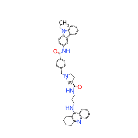 CCn1c2ccccc2c2cc(NC(=O)c3ccc(CN4CC[C@@H](C(=O)NCCCNc5c6c(nc7ccccc57)CCCC6)C4)cc3)ccc21